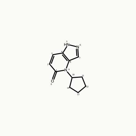 O=c1ccc2[nH]ncc2n1C1CCCC1